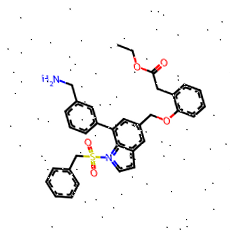 CCOC(=O)Cc1ccccc1OCc1cc(-c2cccc(CN)c2)c2c(ccn2S(=O)(=O)Cc2ccccc2)c1